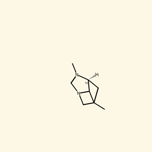 CN1CN2CC3(C)C[C@H]1C23